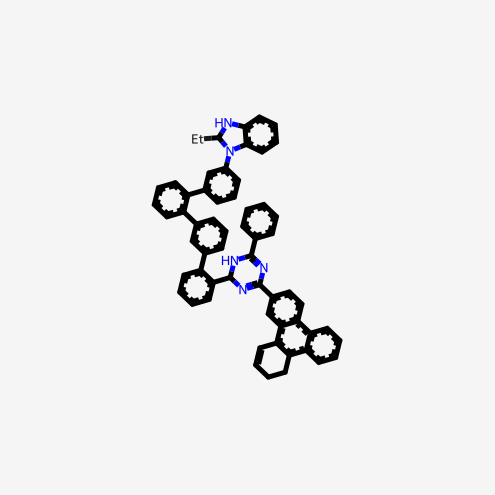 CCC1Nc2ccccc2N1c1cccc(-c2ccccc2-c2cccc(-c3ccccc3C3N=C(c4ccc5c(c4)c4c(c6ccccc65)CCC=C4)N=C(c4ccccc4)N3)c2)c1